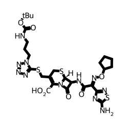 CC(C)(C)OC(=O)NCCCn1nnnc1SCC1=C(C(=O)O)N2C(=O)C(NC(=O)C(=NOC3CCCC3)c3nsc(N)n3)[C@@H]2SC1